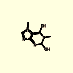 CN1C(O)=c2c(ncn2C)=NC1O